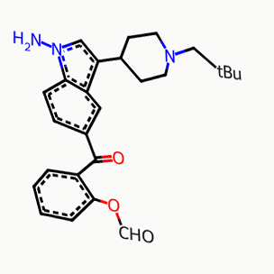 CC(C)(C)CN1CCC(c2cn(N)c3ccc(C(=O)c4ccccc4OC=O)cc23)CC1